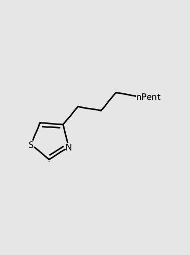 CCCCCCCCc1cs[c]n1